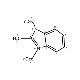 CCCCCCCCCCn1c(C)[n+](CCCCCCCCCC)c2ccccc21